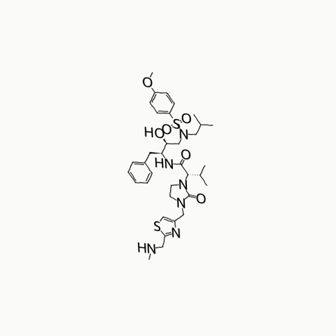 CNCc1nc(CN2CCN([C@H](C(=O)N[C@@H](Cc3ccccc3)[C@@H](O)CN(CC(C)C)S(=O)(=O)c3ccc(OC)cc3)C(C)C)C2=O)cs1